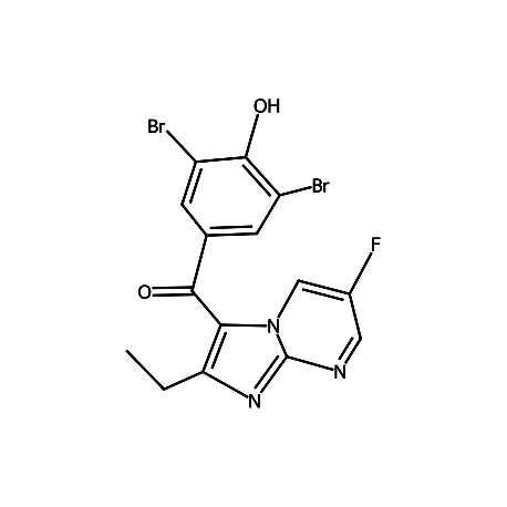 CCc1nc2ncc(F)cn2c1C(=O)c1cc(Br)c(O)c(Br)c1